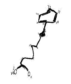 O=C(O)CCCCC=Cc1ccccc1